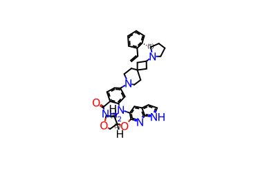 C=Cc1ccccc1[C@@H]1CCCN1C1CC2(CCN(c3ccc(C(N)=O)c(N4c5cc6cc[nH]c6nc5O[C@@H]5COC[C@H]54)c3)CC2)C1